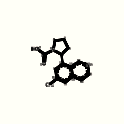 O=C(O)N1CCCC1c1cc(Cl)cc2ccncc12